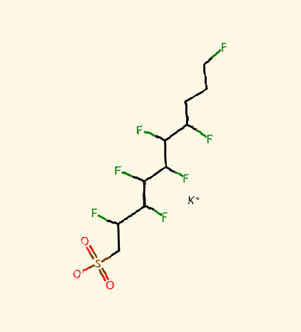 O=S(=O)([O-])CC(F)C(F)C(F)C(F)C(F)C(F)CCCF.[K+]